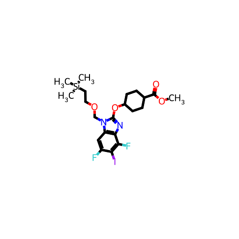 COC(=O)C1CCC(Oc2nc3c(F)c(I)c(F)cc3n2COCC[Si](C)(C)C)CC1